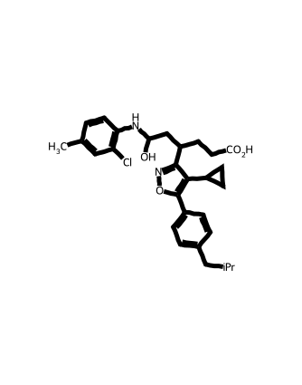 Cc1ccc(NC(O)CC(CCC(=O)O)c2noc(-c3ccc(CC(C)C)cc3)c2C2CC2)c(Cl)c1